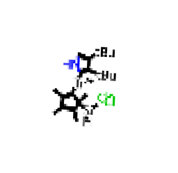 CC1=C(C)C(C)([SiH](C)C)[C]([Ti+2][c]2[nH]cc(C(C)(C)C)c2C(C)(C)C)=C1C.[Cl-].[Cl-]